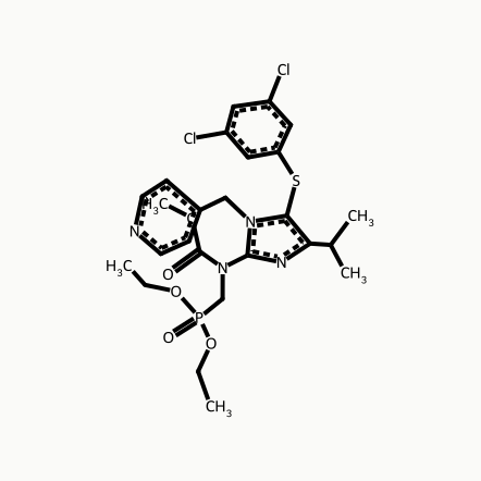 CCOP(=O)(CN(C(=O)OC)c1nc(C(C)C)c(Sc2cc(Cl)cc(Cl)c2)n1Cc1ccncc1)OCC